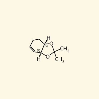 CC1(C)O[C@H]2CCC=C[C@H]2O1